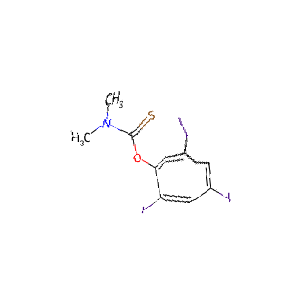 CN(C)C(=S)Oc1c(I)cc(I)cc1I